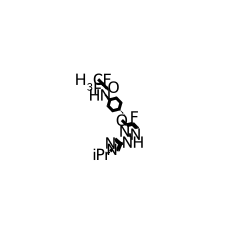 CC(C)n1cc(Nc2ncc(F)c(OC[C@H]3CC[C@H](NC(=O)C(C)(F)F)CC3)n2)cn1